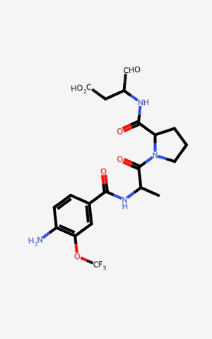 CC(NC(=O)c1ccc(N)c(OC(F)(F)F)c1)C(=O)N1CCCC1C(=O)NC(C=O)CC(=O)O